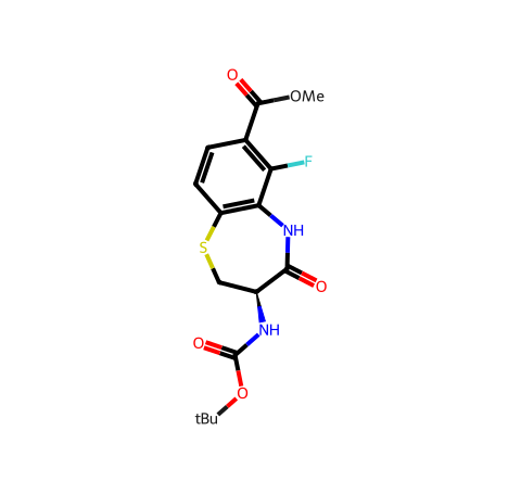 COC(=O)c1ccc2c(c1F)NC(=O)[C@@H](NC(=O)OC(C)(C)C)CS2